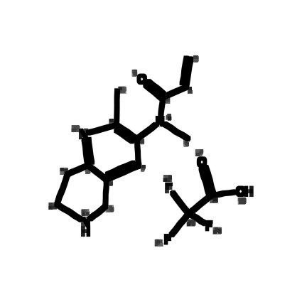 C=CC(=O)N(C)c1cc2c(nc1C)CCNC2.O=C(O)C(F)(F)F